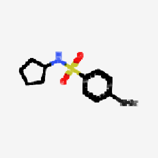 CC(=O)Nc1ccc(S(=O)(=O)NC2CCCC2)cc1